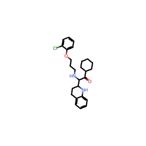 O=C(C1CCCCC1)C(NCCCOc1ccccc1Cl)C1CCc2ccccc2N1